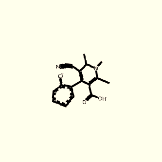 CC1=C(C(=O)O)C(c2ccccc2Cl)=C(C#N)C(C)N1C